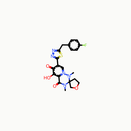 CN1C(=O)c2c(O)c(=O)c(-c3nnc(Cc4ccc(F)cc4)s3)cn2N(C)C12CCOC2